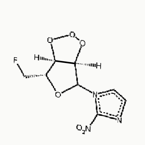 O=[N+]([O-])c1nccn1C1O[C@H](CF)[C@H]2OOO[C@@H]12